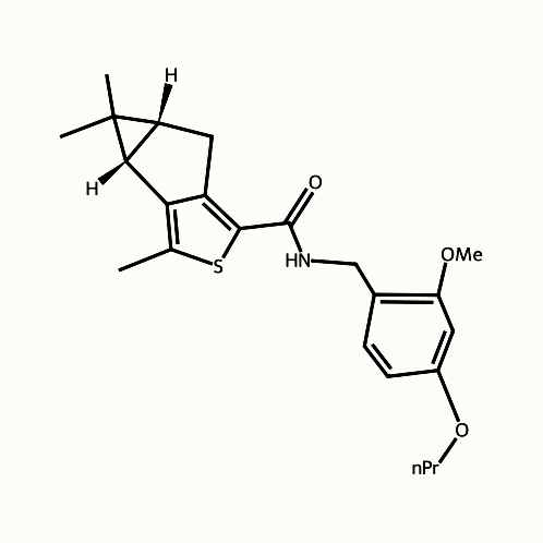 CCCOc1ccc(CNC(=O)c2sc(C)c3c2C[C@@H]2[C@H]3C2(C)C)c(OC)c1